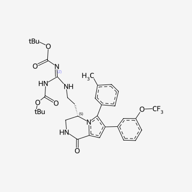 Cc1cccc(-c2c(-c3cccc(OC(F)(F)F)c3)cc3n2[C@@H](CCN/C(=N/C(=O)OC(C)(C)C)NC(=O)OC(C)(C)C)CNC3=O)c1